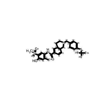 CS(=O)(=O)c1cc(NC(=O)c2ccc3c(c2)CCN(Cc2ccc(SC(F)(F)F)cc2)C3)c(F)cc1O